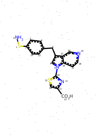 NSc1ccc(Cc2cn(-c3nc(C(=O)O)cs3)c3ccncc23)cc1